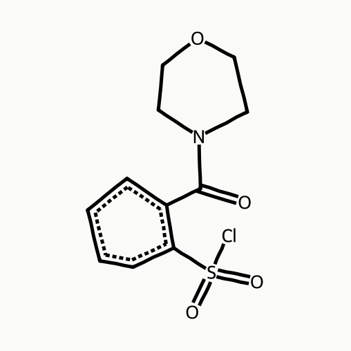 O=C(c1ccccc1S(=O)(=O)Cl)N1CCOCC1